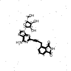 Nc1nc(C#CCc2cccc3c2C(=O)NC3=O)nc2c1ncn2[C@@H]1O[C@H](CO)[C@@H](O)[C@H]1O